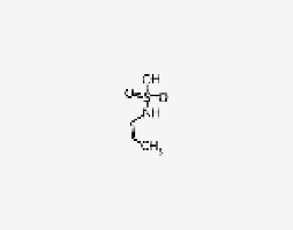 C/C=C\NS(=O)(=O)O